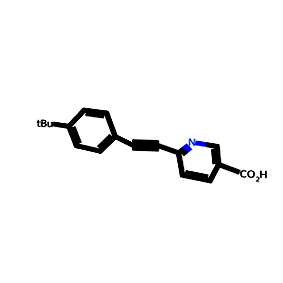 CC(C)(C)c1ccc(C#Cc2ccc(C(=O)O)cn2)cc1